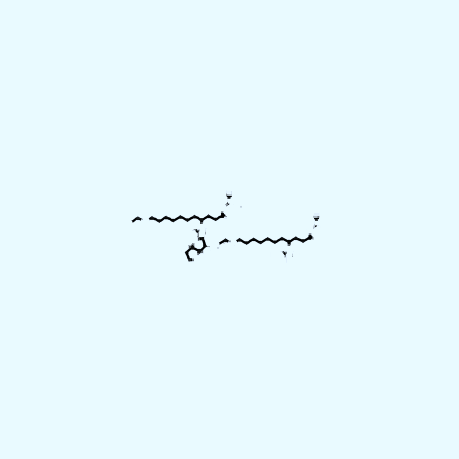 CCSCCCCCCCC(CCC(=O)O[PH](=O)O)[PH](=O)O.CCSCCCCCCCC(CCC(=O)O[PH](=O)O)[PH](=O)O.O[C@@H]1CO[C@H]2[C@@H]1OC[C@@H]2O